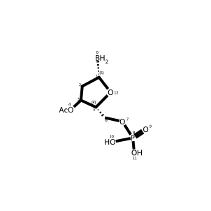 B[C@H]1CC(OC(C)=O)[C@@H](COP(=O)(O)O)O1